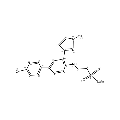 CNS(=O)(=O)CCNc1ccc(-c2ccc(Cl)cc2)cc1-c1ccn(C)n1